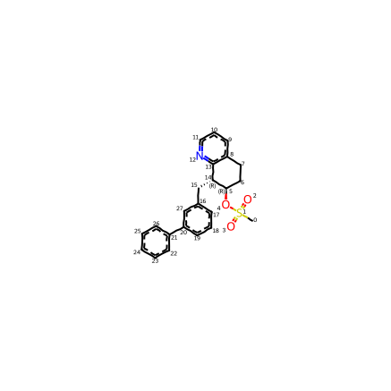 CS(=O)(=O)O[C@@H]1CCc2cccnc2[C@H]1Cc1cccc(-c2ccccc2)c1